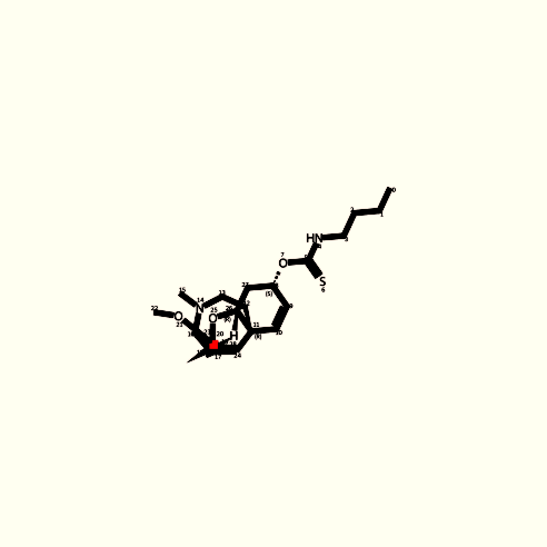 CCCCNC(=S)O[C@@H]1C=C[C@]23CCN(C)Cc4ccc(OC)c(c42)O[C@@H]3C1